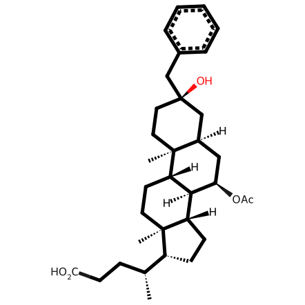 CC(=O)O[C@@H]1C[C@@H]2C[C@@](O)(Cc3ccccc3)CC[C@]2(C)[C@H]2CC[C@]3(C)[C@@H]([C@H](C)CCC(=O)O)CC[C@H]3[C@H]12